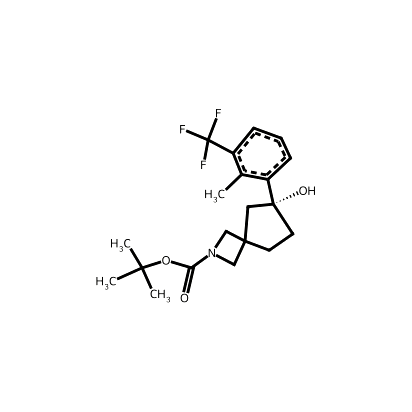 Cc1c(C(F)(F)F)cccc1[C@@]1(O)CCC2(CN(C(=O)OC(C)(C)C)C2)C1